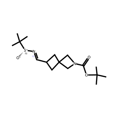 CC(C)(C)OC(=O)N1CC2(CC(/C=N/[S@+]([O-])C(C)(C)C)C2)C1